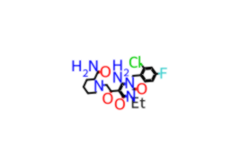 CCn1c(=O)c(C(=O)CN2CCCCC2C(N)=O)c(N)n(Cc2ccc(F)cc2Cl)c1=O